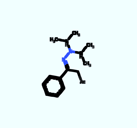 CC(=O)CC(=NN([SiH](C)C)[SiH](C)C)c1ccccc1